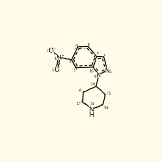 O=[N+]([O-])c1ccc2cnn(C3CCNCC3)c2c1